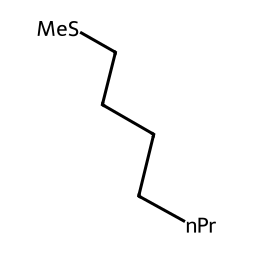 [CH2]CCCCCCS[CH2]